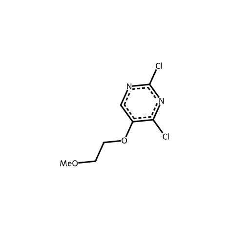 COCCOc1cnc(Cl)nc1Cl